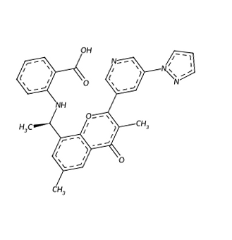 Cc1cc([C@@H](C)Nc2ccccc2C(=O)O)c2oc(-c3cncc(-n4cccn4)c3)c(C)c(=O)c2c1